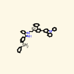 CCC(C/C=N/c1ccccc1C(=N)c1cccc([SiH2]c2ccccc2)c1)c1ccc(-c2ccc3c(c2)c2ccccc2n3-c2ccccc2)cc1-c1ccccc1